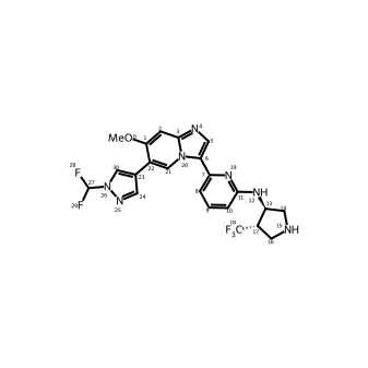 COc1cc2ncc(-c3cccc(N[C@H]4CNC[C@@H]4C(F)(F)F)n3)n2cc1-c1cnn(C(F)F)c1